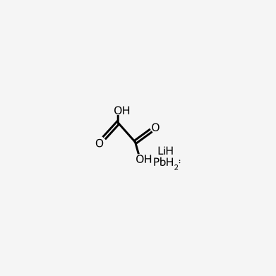 O=C(O)C(=O)O.[LiH].[PbH2]